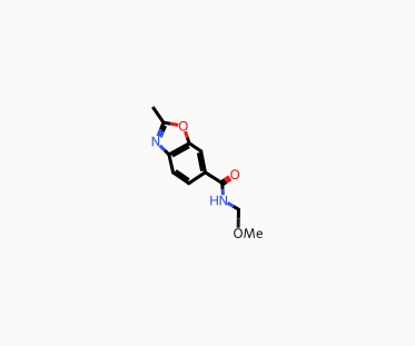 COCNC(=O)c1ccc2nc(C)oc2c1